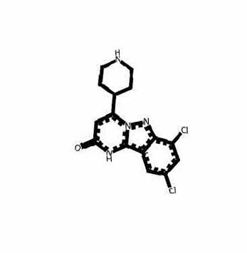 O=c1cc(C2CCNCC2)n2nc3c(Cl)cc(Cl)cc3c2[nH]1